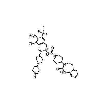 Nc1c(Cl)cc(C[C@@H](OC(=O)N2CCC(N3CCc4ccccc4NC3=O)CC2)C(=O)N2CCN(C3CCNCC3)CC2)cc1C(F)(F)F